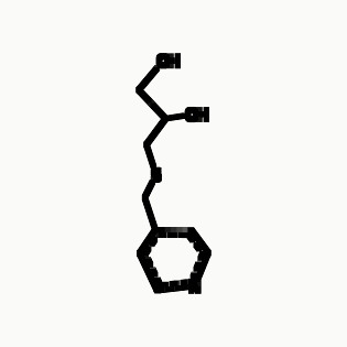 OCC(O)CSCc1ccncc1